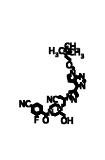 C[Si](C)(C)CCOCn1ccc2c(-c3cnn(C(CC#N)CN4CCN(C(=O)c5ccc(C#N)cc5F)CC4CO)c3)ncnc21